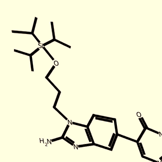 CC(C)[Si](OCCCn1c(N)nc2cc(-c3cncn(C)c3=O)ccc21)(C(C)C)C(C)C